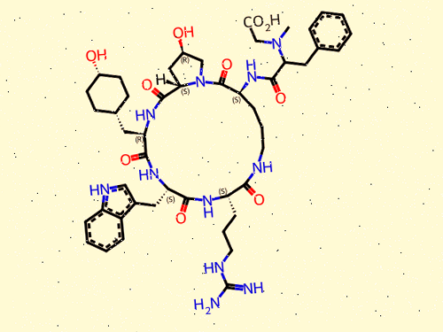 CN(CC(=O)O)C(Cc1ccccc1)C(=O)N[C@H]1CCCNC(=O)[C@H](CCCNC(=N)N)NC(=O)[C@H](Cc2c[nH]c3ccccc23)NC(=O)[C@@H](C[C@H]2CC[C@@H](O)CC2)NC(=O)[C@@H]2C[C@@H](O)CN2C1=O